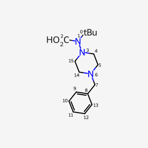 CC(C)(C)N(C(=O)O)N1CCN(Cc2ccccc2)CC1